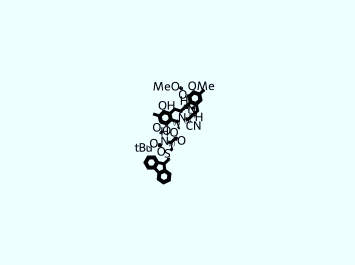 COCOc1c(OC)c(C)cc2c1[C@H]1C3Cc4c(O)c(C)c5c(c4[C@H](COC(=O)[C@@H](CSCC4c6ccccc6-c6ccccc64)NC(=O)OC(C)(C)C)N3[C@@H](C#N)[C@@H](C2)N1C)OCO5